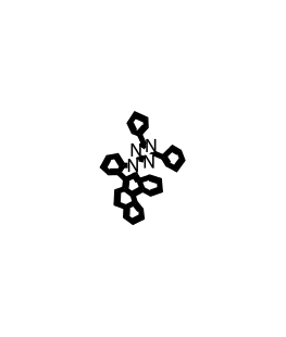 c1ccc(-c2nc(-c3ccccc3)nc(-n3c4ccccc4c4c5ccc6ccccc6c5c5ccccc5c43)n2)cc1